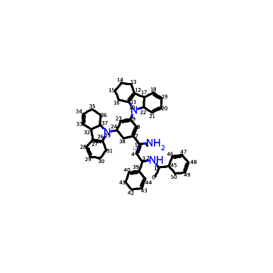 CC(NC(/C=C(\N)C1=CC(N2C3=C(CCCC3)C3C=CC=CC32)=CC(N2C3=C(C=CCC3)C3C=CCCC32)C1)C1=CCCC=C1)C1C=CC=CC1